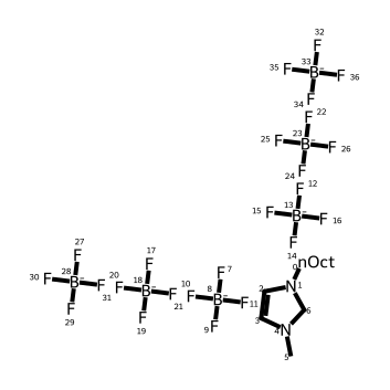 CCCCCCCCN1C=CN(C)C1.F[B-](F)(F)F.F[B-](F)(F)F.F[B-](F)(F)F.F[B-](F)(F)F.F[B-](F)(F)F.F[B-](F)(F)F